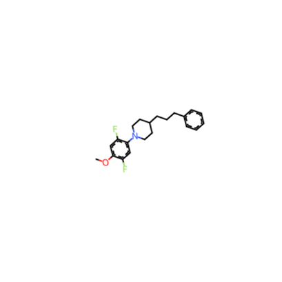 COc1cc(F)c(N2CCC(CCCc3ccccc3)CC2)cc1F